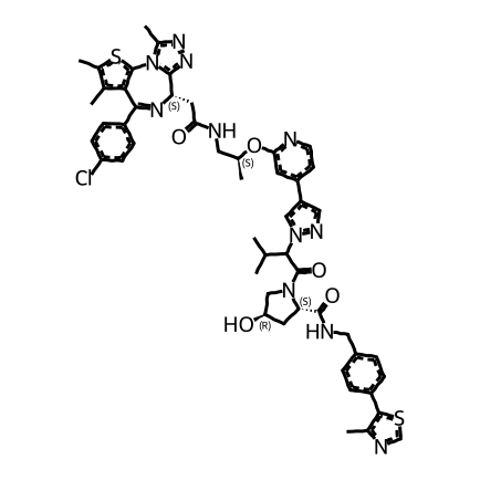 Cc1ncsc1-c1ccc(CNC(=O)[C@@H]2C[C@@H](O)CN2C(=O)C(C(C)C)n2cc(-c3ccnc(O[C@@H](C)CNC(=O)C[C@@H]4N=C(c5ccc(Cl)cc5)c5c(sc(C)c5C)-n5c(C)nnc54)c3)cn2)cc1